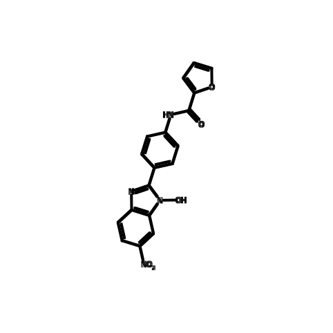 O=C(Nc1ccc(-c2nc3ccc([N+](=O)[O-])cc3n2O)cc1)c1ccco1